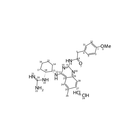 COc1ccc(CC(=O)Nc2nc(N[C@H]3CCCC[C@H]3NC(=N)N)c3cc(C)ccc3n2)cc1.Cl.Cl